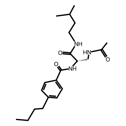 CCCCc1ccc(C(=O)N[C@@H](CNC(C)=O)C(=O)NCCC(C)C)cc1